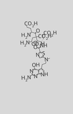 CN(CCc1c[nH]c2nc(N)nc(O)c12)c1cnc(C(=O)N[C@@H](CCC(=O)O)C(=O)C(C[C@H](N)C(=O)O)(C(=O)O)C(=O)[C@@H](N)CCC(=O)O)s1